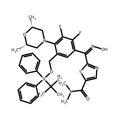 C[C@@H]1CN(c2c(CO[Si](c3ccccc3)(c3ccccc3)C(C)(C)C)cc(/C(=N/O)c3ncc(C(=O)N(C)C)s3)c(F)c2F)C[C@H](C)O1